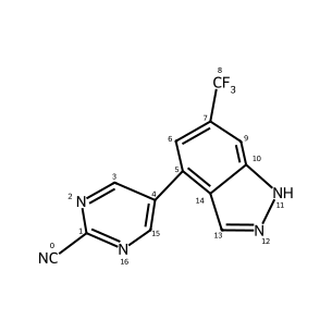 N#Cc1ncc(-c2cc(C(F)(F)F)cc3[nH]ncc23)cn1